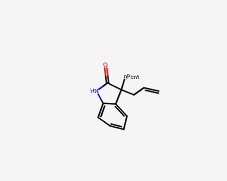 C=CCC1(CCCCC)C(=O)Nc2ccccc21